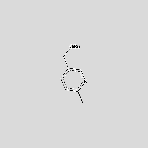 Cc1ccc(COCC(C)C)cn1